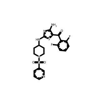 Nc1nc(NC2CCN(S(=O)(=O)c3cccnc3)CC2)sc1C(=O)c1c(F)cccc1F